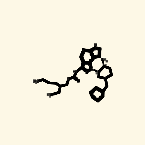 CCCCC(CC)COC(=O)Nc1nn([C@H]2CN(Cc3ccccc3)CC[C@H]2C)c2c1cnc1[nH]ccc12